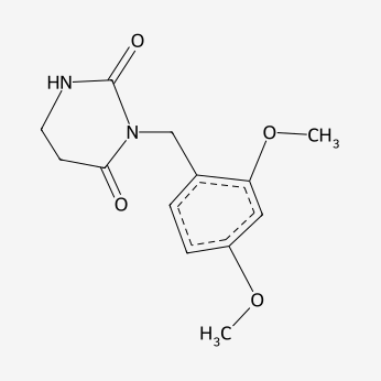 COc1ccc(CN2C(=O)CCNC2=O)c(OC)c1